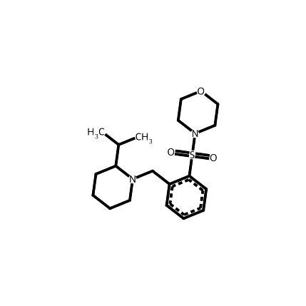 CC(C)C1CCCCN1Cc1ccccc1S(=O)(=O)N1CCOCC1